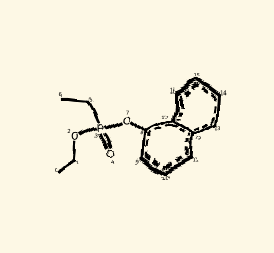 CCOP(=O)(CC)Oc1cccc2ccccc12